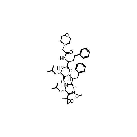 CO/N=C(/[C@H](CC(C)C)NC(=O)[C@H](Cc1ccccc1)NC(=O)[C@H](CC(C)C)NC(=O)[C@H](CCc1ccccc1)NC(=O)CN1CCOCC1)[C@@]1(C)CO1